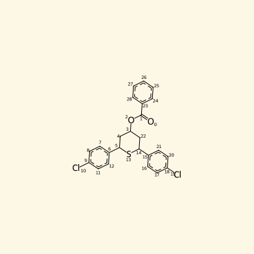 O=C(OC1CC(c2ccc(Cl)cc2)SC(c2ccc(Cl)cc2)C1)c1ccccc1